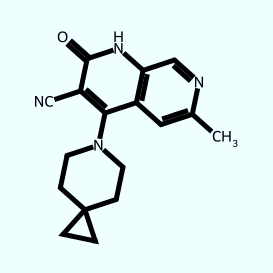 Cc1cc2c(N3CCC4(CC3)CC4)c(C#N)c(=O)[nH]c2cn1